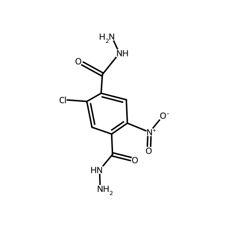 NNC(=O)c1cc([N+](=O)[O-])c(C(=O)NN)cc1Cl